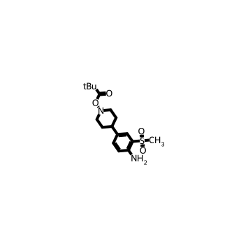 CC(C)(C)C(=O)ON1CCC(c2ccc(N)c(S(C)(=O)=O)c2)CC1